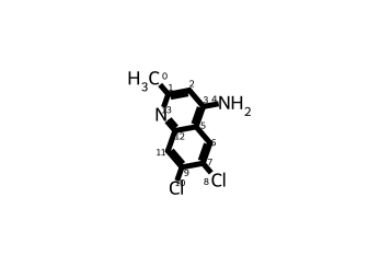 Cc1cc(N)c2cc(Cl)c(Cl)cc2n1